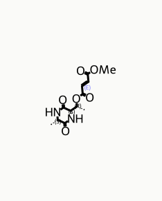 COC(=O)/C=C/C(=O)O[C@H](C)[C@@H]1NC(=O)[C@H](C)NC1=O